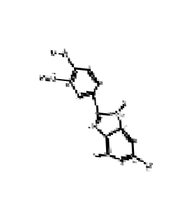 COc1ccc(-c2nc3c(C)cc(Br)cc3n2C)cc1OC